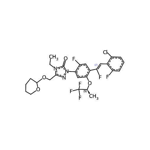 CCn1c(COC2CCCCO2)nn(-c2cc(O[C@@H](C)C(F)(F)F)c(/C(F)=C/c3c(F)cccc3Cl)cc2F)c1=O